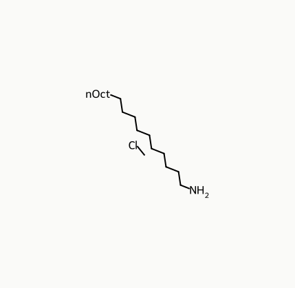 CCCCCCCCCCCCCCCCCCN.CCl